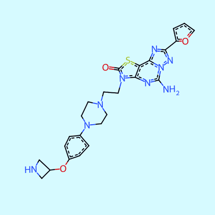 Nc1nc2c(sc(=O)n2CCN2CCN(c3ccc(OC4CNC4)cc3)CC2)c2nc(-c3ccco3)nn12